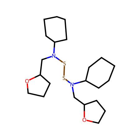 C1CCC(N(CC2CCCO2)SSN(CC2CCCO2)C2CCCCC2)CC1